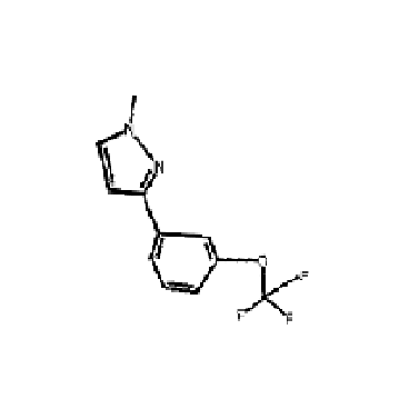 Cn1ccc(-c2cccc(OC(F)(F)F)c2)n1